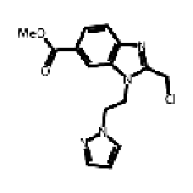 COC(=O)c1ccc2nc(CCl)n(CCn3cccn3)c2c1